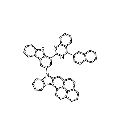 c1ccc2cc(-c3nc(-c4cc(-n5c6ccccc6c6c7ccc8cccc9ccc(cc65)c7c98)cc5c4sc4ccccc45)nc4ccccc34)ccc2c1